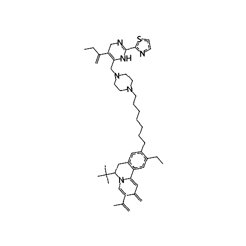 C=C(C)C1=CN2C(=CC1=C)c1cc(CC)c(CCCCCCCN3CCN(CC4=C(C(=C)CC)CN=C(c5nccs5)N4)CC3)cc1CC2C(C)(C)C